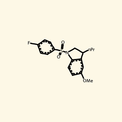 CCCC1CN(S(=O)(=O)c2ccc(F)cc2)c2ccc(OC)cc21